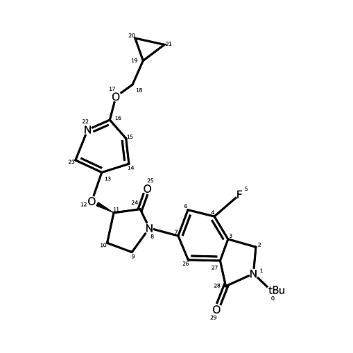 CC(C)(C)N1Cc2c(F)cc(N3CC[C@@H](Oc4ccc(OCC5CC5)nc4)C3=O)cc2C1=O